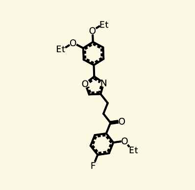 CCOc1ccc(-c2nc(CCC(=O)c3ccc(F)cc3OCC)co2)cc1OCC